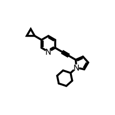 C(#Cc1cccn1C1CCCCC1)c1ccc(C2CC2)cn1